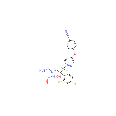 N#Cc1ccc(Oc2ccc(C(F)(F)C(O)(CN(CN)NC=O)c3ccc(F)cc3F)nc2)cc1